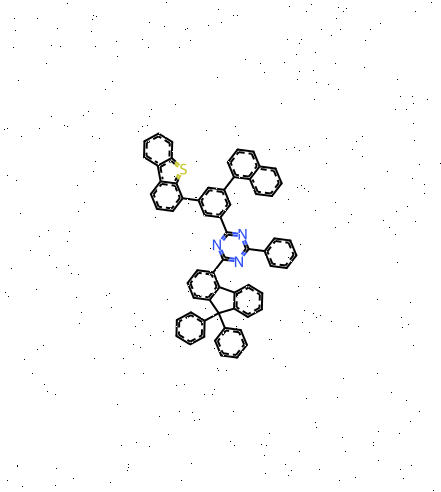 c1ccc(-c2nc(-c3cc(-c4cccc5ccccc45)cc(-c4cccc5c4sc4ccccc45)c3)nc(-c3cccc4c3-c3ccccc3C4(c3ccccc3)c3ccccc3)n2)cc1